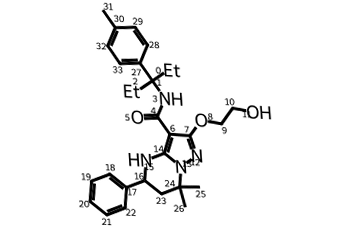 CCC(CC)(NC(=O)c1c(OCCO)nn2c1NC(c1ccccc1)CC2(C)C)c1ccc(C)cc1